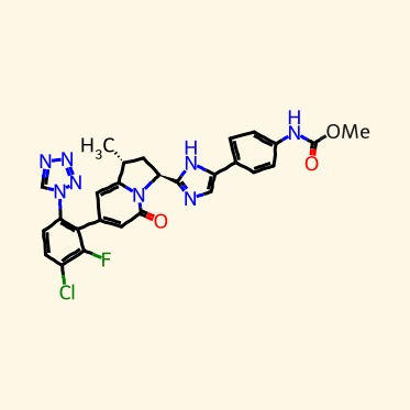 COC(=O)Nc1ccc(-c2cnc([C@@H]3C[C@@H](C)c4cc(-c5c(-n6cnnn6)ccc(Cl)c5F)cc(=O)n43)[nH]2)cc1